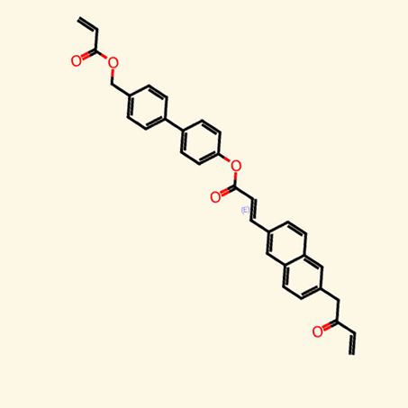 C=CC(=O)Cc1ccc2cc(/C=C/C(=O)Oc3ccc(-c4ccc(COC(=O)C=C)cc4)cc3)ccc2c1